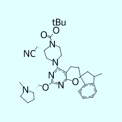 CC1CC2(CCc3c(nc(OC[C@@H]4CCCN4C)nc3N3CCN(C(=O)OC(C)(C)C)[C@@H](CC#N)C3)O2)c2ccccc21